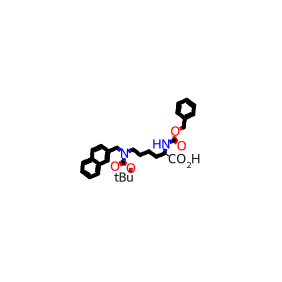 CC(C)(C)OC(=O)N(CCCC[C@H](NC(=O)OCc1ccccc1)C(=O)O)Cc1ccc2ccccc2c1